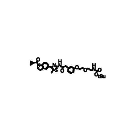 Cc1sc(NC(=O)Cc2cccc(OCCOCCNC(=O)OC(C)(C)C)c2)nc1-c1ccc2c(c1)CCN2C(=O)C1CC1